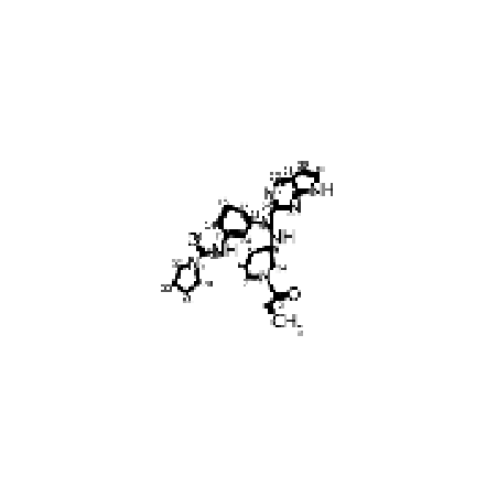 C=CC(=O)N1CCCC(NN(c2cccc(NC(=O)N3CCCC3)c2)c2ncc3cc[nH]c3n2)C1